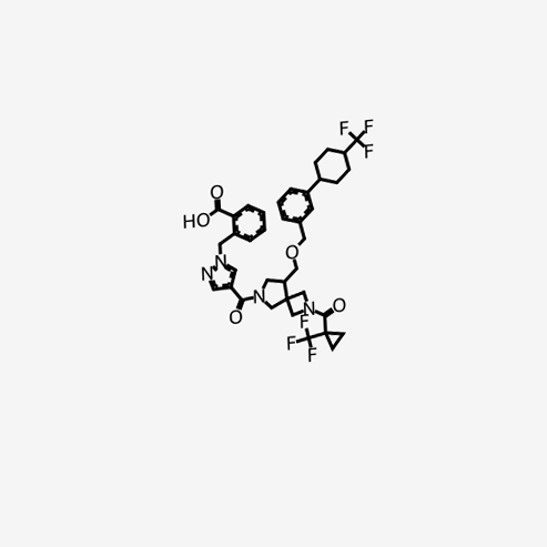 O=C(O)c1ccccc1Cn1cc(C(=O)N2CC(COCc3cccc(C4CCC(C(F)(F)F)CC4)c3)C3(C2)CN(C(=O)C2(C(F)(F)F)CC2)C3)cn1